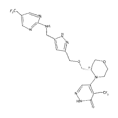 O=c1[nH]ncc(N2CCOC[C@H]2COCc2cc(CNc3ncc(C(F)(F)F)cn3)[nH]n2)c1C(F)(F)F